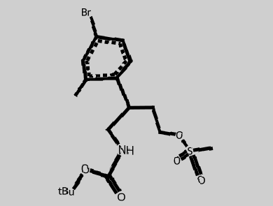 Cc1cc(Br)ccc1C(CCOS(C)(=O)=O)CNC(=O)OC(C)(C)C